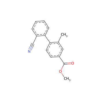 COC(=O)c1ccc(-c2ccccc2C#N)c(C)c1